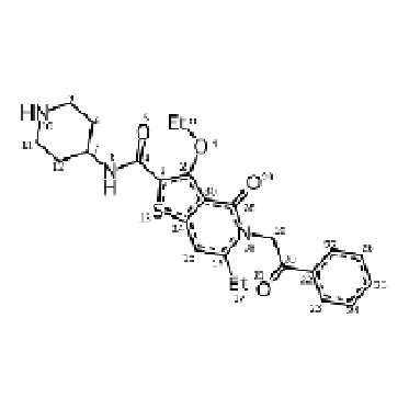 CCOc1c(C(=O)NC2CCNCC2)sc2cc(CC)n(CC(=O)c3ccccc3)c(=O)c12